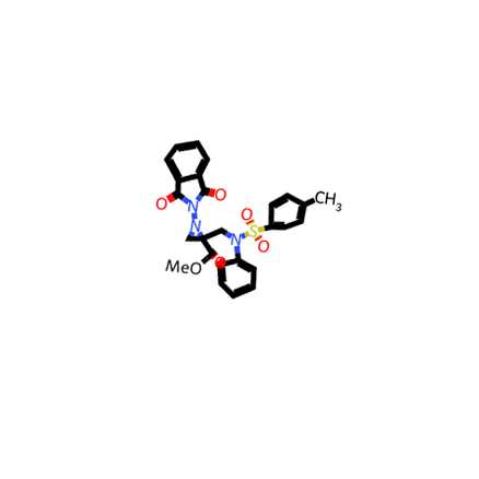 COC(=O)C1(CN(c2ccccc2)S(=O)(=O)c2ccc(C)cc2)CN1N1C(=O)c2ccccc2C1=O